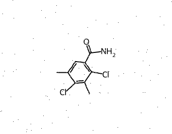 Cc1cc(C(N)=O)c(Cl)c(C)c1Cl